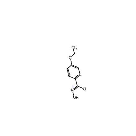 O/N=C(\Cl)c1ccc(OCC(F)(F)F)cn1